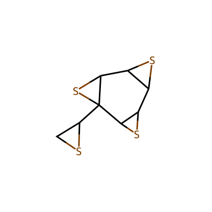 C1SC1C12SC1C1SC1C1SC12